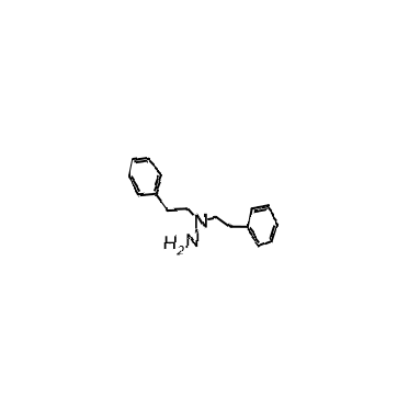 NN(CCc1ccccc1)CCc1ccccc1